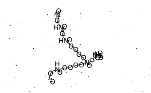 CC(C)N(C=O)C(C)(C)COC(C)(C)CCNC(=O)C(C)(C)COC(C)(C)CCNC(=O)CCOCCOCCOCCOCCN(CCOCCOCCOCCOCCC(=O)NCCC(C)(C)OCCC(C)(C)C=O)C(=O)c1ccc(-c2nnc(S(C)(=O)=O)o2)cc1